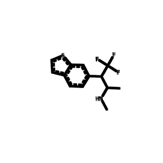 CNC(C)C(c1ccc2ccsc2c1)C(F)(F)F